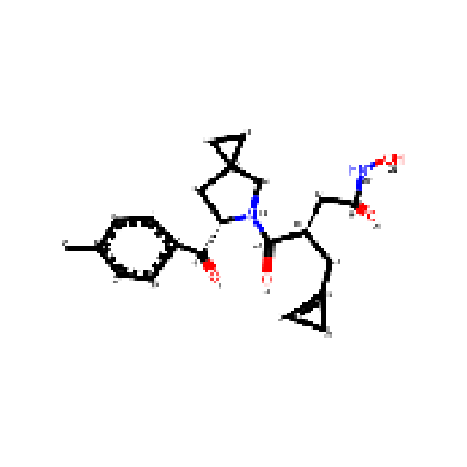 Cc1ccc(C(=O)[C@@H]2CC3(CC3)CN2C(=O)[C@@H](CC(=O)NO)CC2=CC2)cc1